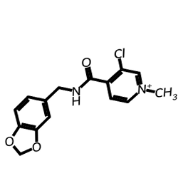 C[n+]1ccc(C(=O)NCc2ccc3c(c2)OCO3)c(Cl)c1